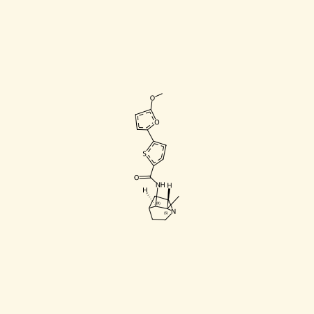 COc1ccc(-c2ccc(C(=O)N[C@@H]3C4CCN(CC4)[C@H]3C)s2)o1